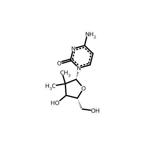 CC1(C)C(O)[C@@H](CO)O[C@H]1n1ccc(N)nc1=O